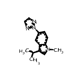 CC(C)c1cn(C)c2ccc(-n3nccn3)cc12